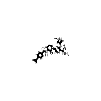 Cn1cc(Nc2nc(N3CCC[C@@H](NC(=O)c4ccc(C5CC5)cc4)C3=O)cnc2C(N)=O)cn1